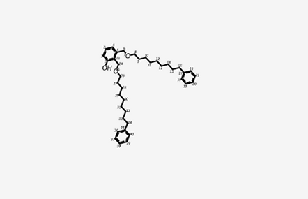 Oc1cccc(COCCCCCCCCCc2ccccc2)c1COCCCCCCCCCc1ccccc1